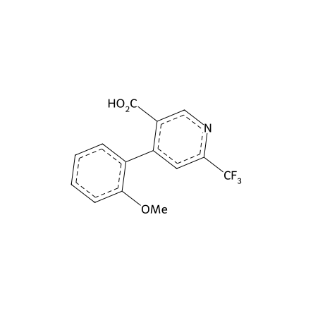 COc1ccccc1-c1cc(C(F)(F)F)ncc1C(=O)O